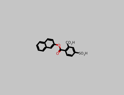 O=C(O)c1cc(S(=O)(=O)O)ccc1C(=O)Oc1ccc2ccccc2c1